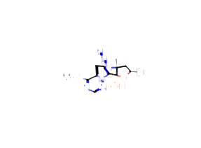 CC[C@H]1O[C@@](O)(c2ccc3c(SC)ncnn23)[C@](C)(N=[N+]=[N-])[C@@H]1C